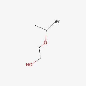 CC(C)C(C)OCCO